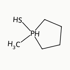 C[PH]1(S)CCCC1